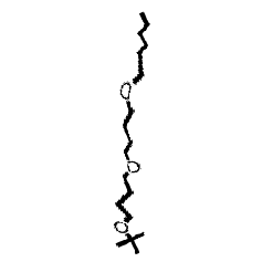 CCCCCCOCCCCOCCCCOC(C)(C)C